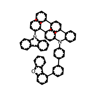 c1ccc(-c2ccc(-c3ccccc3N(c3ccc(-c4cccc(-c5cccc6oc7ccccc7c56)c4)cc3)c3ccc(-c4ccccc4-n4c5ccccc5c5ccccc54)cc3)cc2)cc1